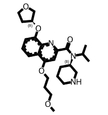 COCCCOc1cc(C(=O)N(C(C)C)[C@@H]2CCCNC2)nc2c(O[C@@H]3CCOC3)cccc12